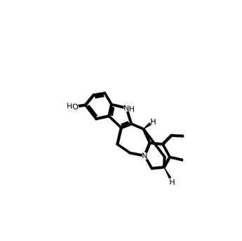 CCC1C(C)[C@H]2C[C@H]3c4[nH]c5ccc(O)cc5c4CCN(C2)C13